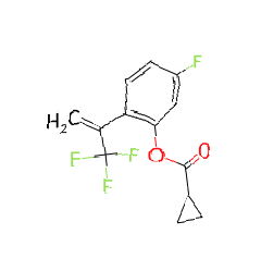 C=C(c1ccc(F)cc1OC(=O)C1CC1)C(F)(F)F